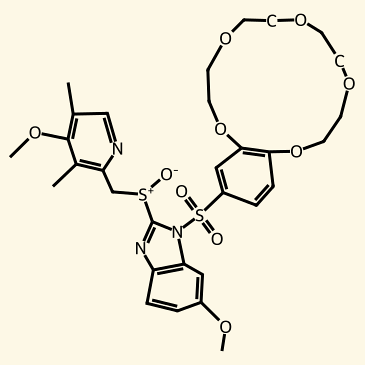 COc1ccc2nc([S+]([O-])Cc3ncc(C)c(OC)c3C)n(S(=O)(=O)c3ccc4c(c3)OCCOCCOCCOCCO4)c2c1